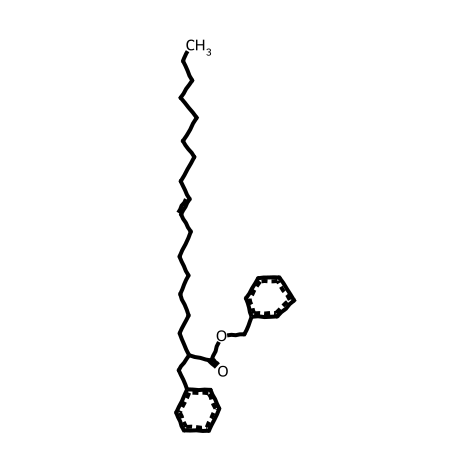 CCCCCCCCC=CCCCCCCC(Cc1ccccc1)C(=O)OCc1ccccc1